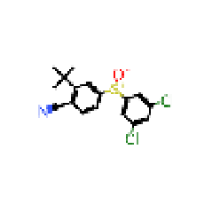 CC(C)(C)c1cc([S+]([O-])c2cc(Cl)cc(Cl)c2)ccc1C#N